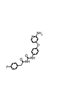 Nc1cc(Oc2ccc(NC(=O)NC(=O)Cc3ccc(F)cc3)cc2)ccn1